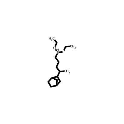 CCO[SiH](CCCC(C)C1CC2CCC1C2)OCC